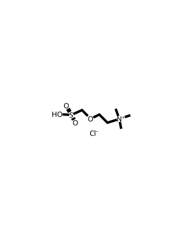 C[N+](C)(C)CCOCS(=O)(=O)O.[Cl-]